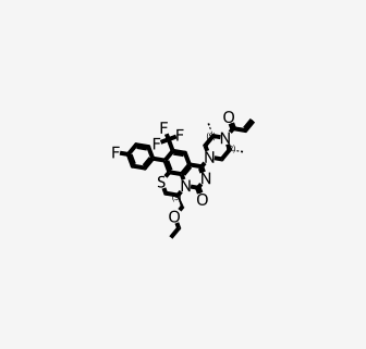 C=CC(=O)N1[C@H](C)CN(c2nc(=O)n3c4c(c(-c5ccc(F)cc5)c(C(F)(F)F)cc24)SC[C@@H]3COCC)C[C@@H]1C